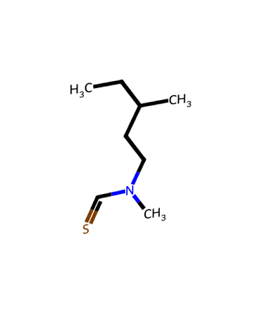 CCC(C)CCN(C)C=S